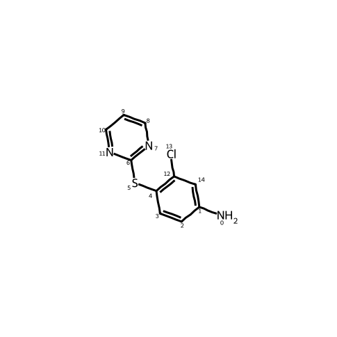 Nc1ccc(Sc2ncccn2)c(Cl)c1